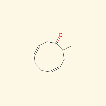 CC1CC=CCCC=CCC1=O